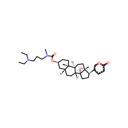 CCN(CC)CCCN(C)C(=O)O[C@H]1CC[C@@]2(C)[C@H](CC[C@@H]3[C@@H]2CC[C@]2(C)[C@@H](c4ccc(=O)oc4)CC[C@]32O)C1